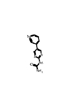 NC(=O)Nc1ncc(-c2cccnc2)cn1